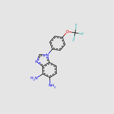 Nc1ccc2c(ncn2-c2ccc(OC(F)(F)F)cc2)c1N